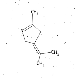 CC1=NCC(=C(C)C)C1